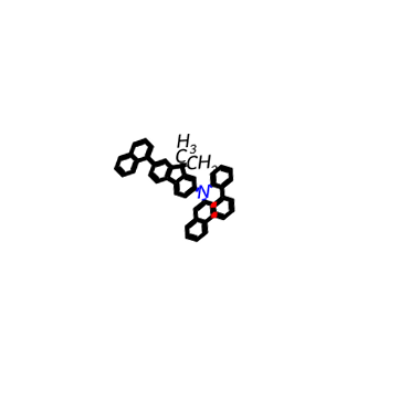 CC1(C)c2cc(-c3cccc4ccccc34)ccc2-c2ccc(N(c3ccc4ccccc4c3)c3ccccc3-c3ccccc3)cc21